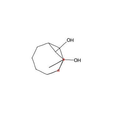 OC1C2CCCC3CC(C2)CC1(O)C3